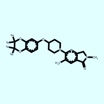 [2H]C1([2H])Oc2ccc(OC3CCN(c4nc5c(cc4C)C(=O)N(C)C5)CC3)cc2OC1([2H])[2H]